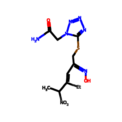 CCC(=CC(CSc1nnnn1CC(N)=O)=NO)C(C)[N+](=O)[O-]